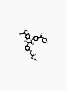 COC(=O)COc1cccc(C(Nc2cccc(C(=N)N)c2)C(=O)Nc2ccc(C(=O)N3CCOCC3)cc2)c1